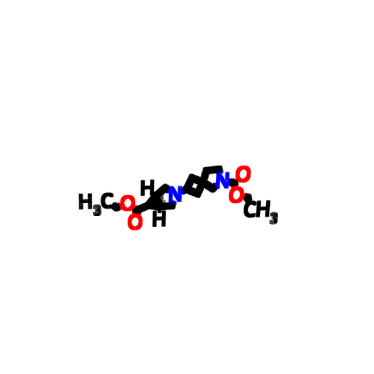 CCOC(=O)C1[C@H]2CN(C3CC4(CCN(C(=O)OCC)C4)C3)C[C@@H]12